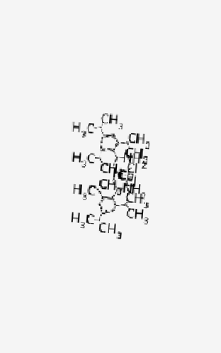 CC(C)c1cc(C(C)C)c(C(N)C[N](CC(N)c2c(C(C)C)cc(C(C)C)cc2C(C)C)[Co]([Cl])[Cl])c(C(C)C)c1